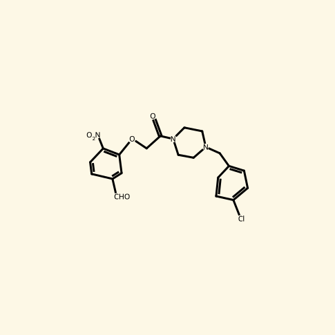 O=Cc1ccc([N+](=O)[O-])c(OCC(=O)N2CCN(Cc3ccc(Cl)cc3)CC2)c1